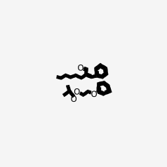 CC(C)C(=O)OCCOc1ccccc1.CCCCCCC(C=O)=Cc1ccccc1